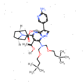 C=C(OCC)c1c([C@H]2C[C@H]3CC[C@@H](C2)N3C(=O)OC(C)(C)C)nc2c(-c3ccc(N)nc3)cnn2c1N(COCC[Si](C)(C)C)COCC[Si](C)(C)C